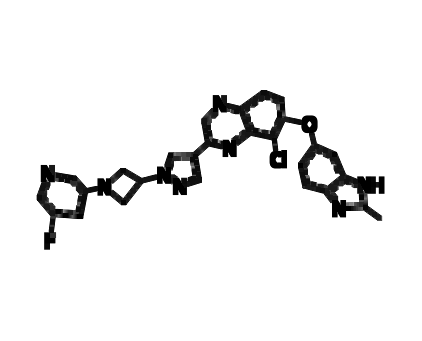 Cc1nc2ccc(Oc3ccc4ncc(-c5cnn(C6CN(c7cncc(F)c7)C6)c5)nc4c3Cl)cc2[nH]1